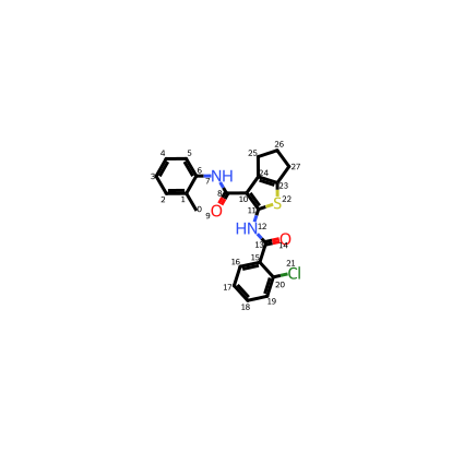 Cc1ccccc1NC(=O)c1c(NC(=O)c2ccccc2Cl)sc2c1CCC2